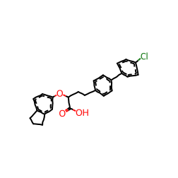 O=C(O)C(CCc1ccc(-c2ccc(Cl)cc2)cc1)Oc1ccc2c(c1)CCC2